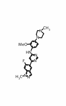 COc1cc(N2CCN(C)CC2)ccc1Nc1cc(-c2cc3cnn(C)c3cc2F)ncn1